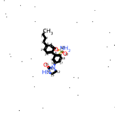 CCCCc1ccc(-c2cc(N3CCNC3=O)ccc2S(N)(=O)=O)cc1